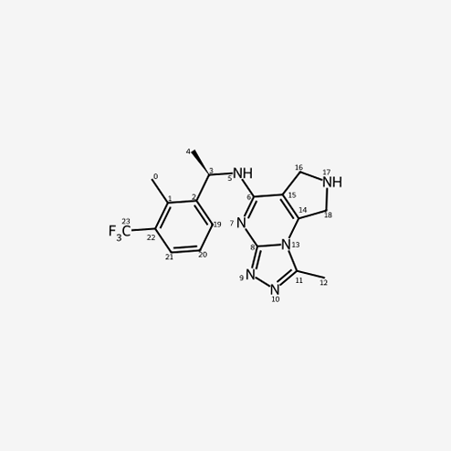 Cc1c([C@@H](C)Nc2nc3nnc(C)n3c3c2CNC3)cccc1C(F)(F)F